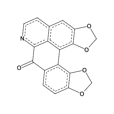 O=C1c2ccc3c(c2-c2c4c(cc5ccnc1c25)OCO4)OCO3